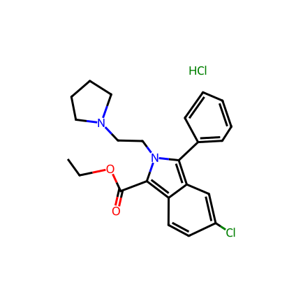 CCOC(=O)c1c2ccc(Cl)cc2c(-c2ccccc2)n1CCN1CCCC1.Cl